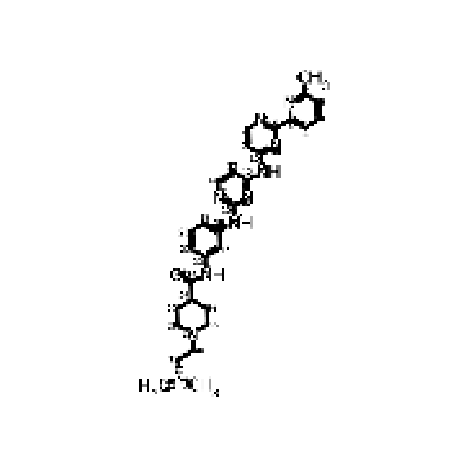 Cc1cccc(-c2nccc(Nc3ccnc(Nc4cccc(NC(=O)C5CCN(CCN(C)C)CC5)c4)n3)n2)n1